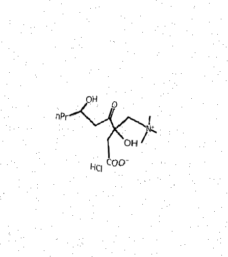 CCCC(O)CC(=O)C(O)(CC(=O)[O-])C[N+](C)(C)C.Cl